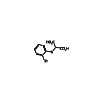 CC(C)c1ccccc1OC(C(=O)O)C(=O)O